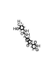 Cc1ccc(NC(=O)NCc2cc3c(s2)C(=O)N(C2CCC(=O)NC2=O)C3)cc1O